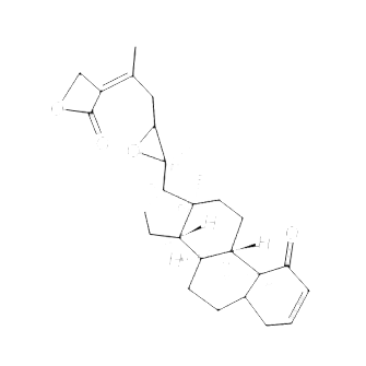 CC(CC1O[C@]1(C)[C@H]1CC[C@H]2[C@@H]3CCC4CC=CC(=O)[C@]4(C)[C@H]3CC[C@@]21C)=C1COC1=O